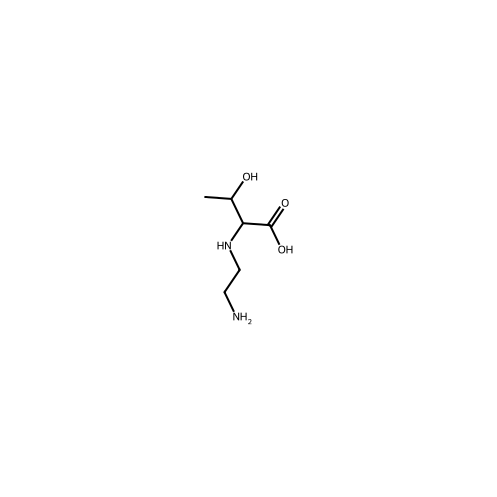 CC(O)C(NCCN)C(=O)O